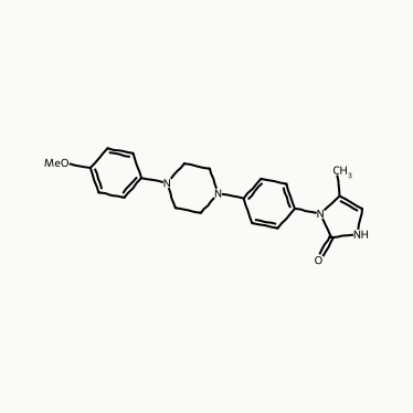 COc1ccc(N2CCN(c3ccc(-n4c(C)c[nH]c4=O)cc3)CC2)cc1